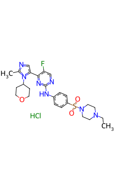 CCN1CCN(S(=O)(=O)c2ccc(Nc3ncc(F)c(-c4cnc(C)n4C4CCOCC4)n3)cc2)CC1.Cl